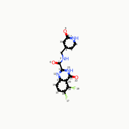 O=C(NCc1cc[nH]c(=O)c1)c1nc2ccc(F)c(F)c2c(=O)[nH]1